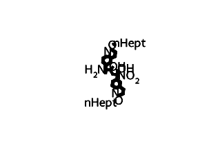 CCCCCCCOc1ccc2cc(C(C)(N)C(O)CC(CO)(c3ccc4nc(OCCCCCCC)ccc4c3)[N+](=O)[O-])ccc2n1